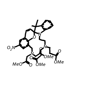 COC(=O)CCN(CCC(=O)OC)CCN1c2ccccc2C(C)(C)C12C=Cc1cc([N+](=O)[O-])cc(CN(CC(=O)OC)CC(=O)OC)c1O2